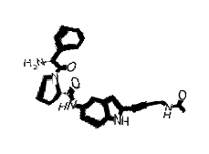 CC(=O)NCC#Cc1cc2cc(NC(=O)[C@@H]3CCCN3C(=O)[C@H](N)c3ccccc3)ccc2[nH]1